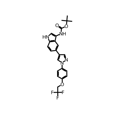 CC(C)(C)OC(=O)Nc1c[nH]c2ccc(-c3cnn(-c4ccc(OCC(F)(F)F)cc4)c3)cc12